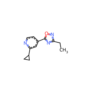 CCc1noc(-c2ccnc(C3CC3)c2)n1